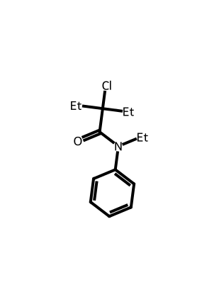 CCN(C(=O)C(Cl)(CC)CC)c1ccccc1